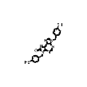 O=c1nc2c3ncn(Cc4ccc(S)cc4)c3ncnc-2n1Cc1ccc(S)cc1